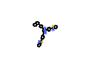 C1=CC2=CC=CC(c3ccc(-c4cc(-c5ccc(-c6nc7ccccc7s6)cc5)nc(-c5ccc(C6=NC7C=CC=CC7S6)cc5)n4)cc3)C2C=C1